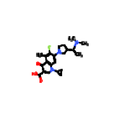 Cc1c(F)c(N2CCC(C(C)N(C)C)C2)cc2c1c(=O)c(C(=O)O)cn2C1CC1